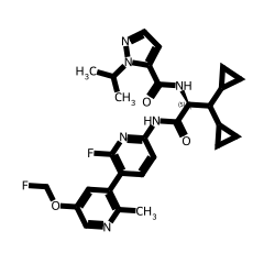 Cc1ncc(OCF)cc1-c1ccc(NC(=O)[C@@H](NC(=O)c2ccnn2C(C)C)C(C2CC2)C2CC2)nc1F